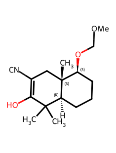 [C-]#[N+]C1=C(O)C(C)(C)[C@@H]2CCC[C@H](OCOC)[C@@]2(C)C1